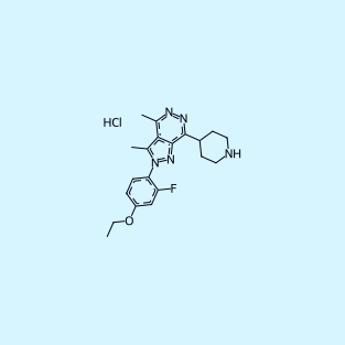 CCOc1ccc(-n2nc3c(C4CCNCC4)nnc(C)c3c2C)c(F)c1.Cl